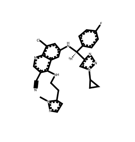 [2H][C@](Nc1cc(Cl)c2ncc(C#N)c(NCCc3ccnn3C)c2c1)(c1ccc(F)cc1)c1cn(C2CC2)nn1